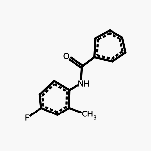 Cc1cc(F)ccc1NC(=O)c1ccccc1